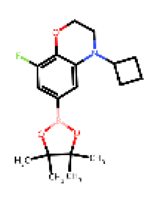 CC1(C)OB(c2cc(F)c3c(c2)N(C2CCC2)CCO3)OC1(C)C